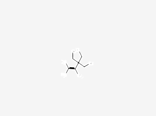 CC(C)=C(C)C(CO)(CO)CO